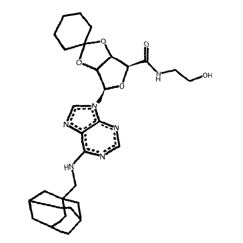 O=C(NCCO)[C@H]1O[C@@H](n2cnc3c(NCC45CC6CC(CC(C6)C4)C5)ncnc32)C2OC3(CCCCC3)OC21